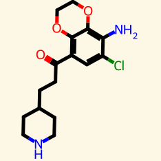 Nc1c(Cl)cc(C(=O)CCC2CCNCC2)c2c1OCCO2